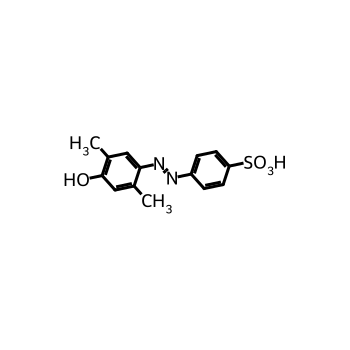 Cc1cc(N=Nc2ccc(S(=O)(=O)O)cc2)c(C)cc1O